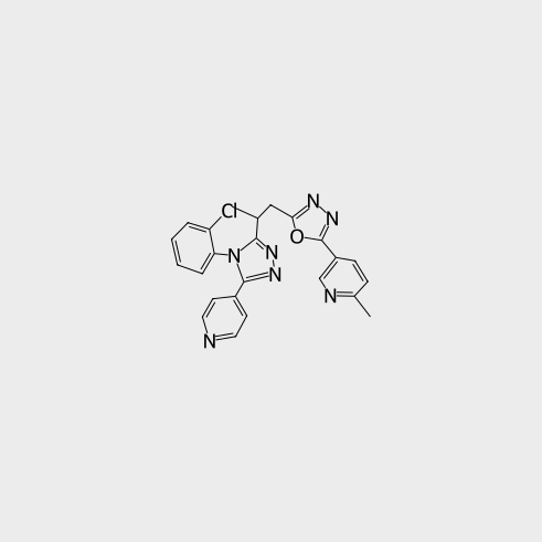 Cc1ccc(-c2nnc(CC(C)c3nnc(-c4ccncc4)n3-c3ccccc3Cl)o2)cn1